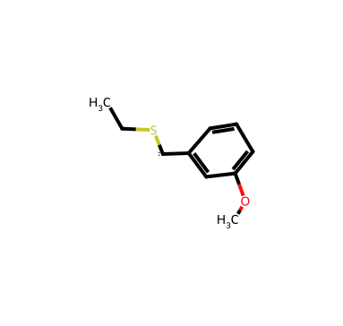 CCS[C]c1cccc(OC)c1